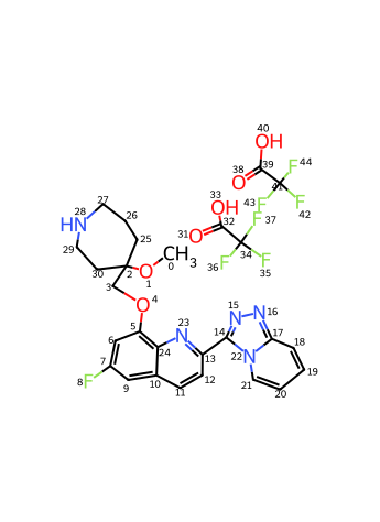 COC1(COc2cc(F)cc3ccc(-c4nnc5ccccn45)nc23)CCCNCC1.O=C(O)C(F)(F)F.O=C(O)C(F)(F)F